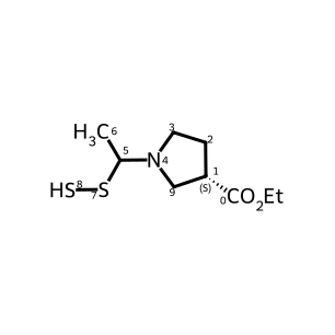 CCOC(=O)[C@H]1CCN(C(C)SS)C1